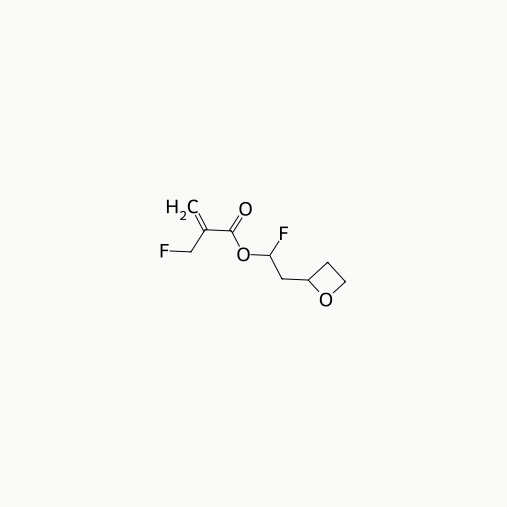 C=C(CF)C(=O)OC(F)CC1CCO1